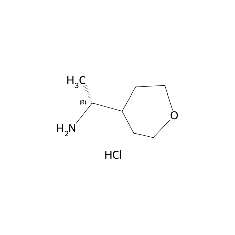 C[C@@H](N)C1CCOCC1.Cl